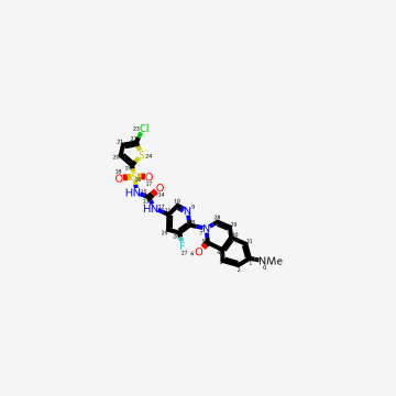 CNc1ccc2c(=O)n(-c3ncc(NC(=O)NS(=O)(=O)c4ccc(Cl)s4)cc3F)ccc2c1